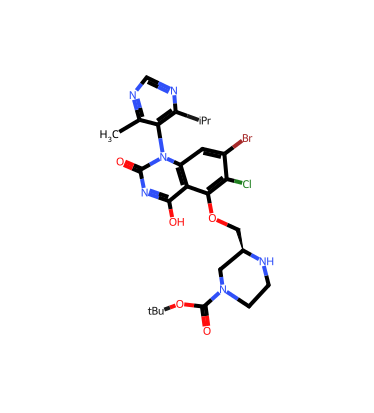 Cc1ncnc(C(C)C)c1-n1c(=O)nc(O)c2c(OC[C@@H]3CN(C(=O)OC(C)(C)C)CCN3)c(Cl)c(Br)cc21